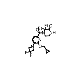 CCC1(CC)C(=O)NCCN1C(=O)c1ccc(N2CC(F)(F)C2)c(OCC2CC2)n1